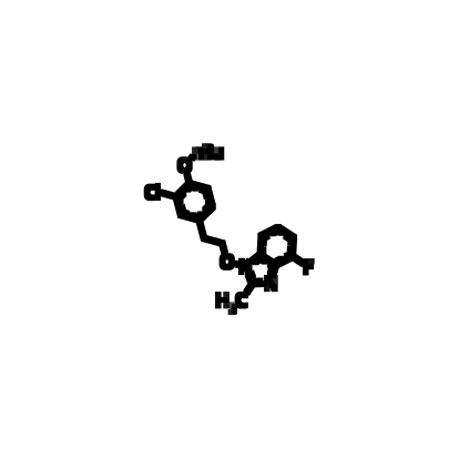 CCCCOc1ccc(CCOn2c(C)nc3c(F)cccc32)cc1Cl